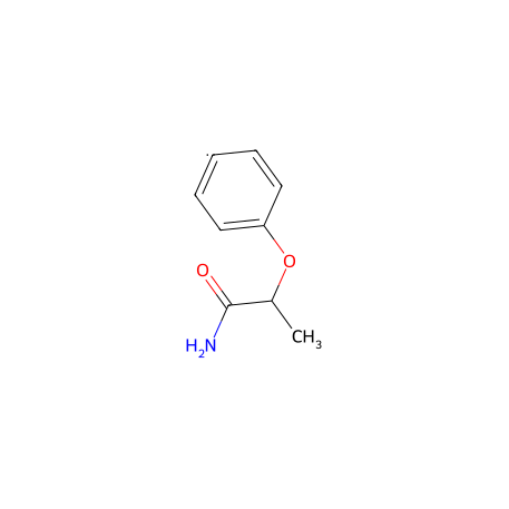 CC(Oc1cc[c]cc1)C(N)=O